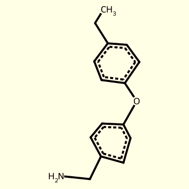 CCc1ccc(Oc2ccc(CN)cc2)cc1